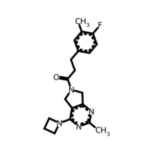 Cc1nc2c(c(N3CCC3)n1)CN(C(=O)CCc1ccc(F)c(C)c1)C2